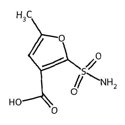 Cc1cc(C(=O)O)c(S(N)(=O)=O)o1